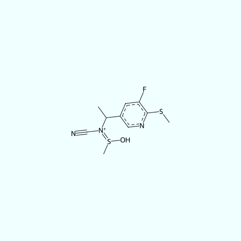 CSc1ncc(C(C)[N+](C#N)=S(C)O)cc1F